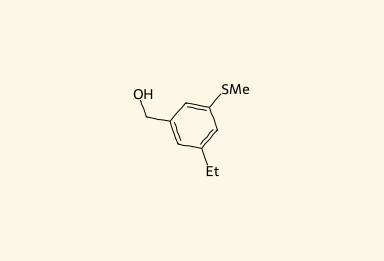 CCc1cc(CO)cc(SC)c1